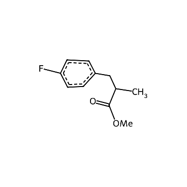 COC(=O)C(C)Cc1ccc(F)cc1